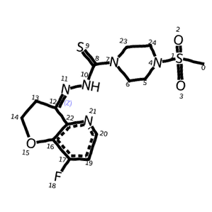 CS(=O)(=O)N1CCN(C(=S)N/N=C2/CCOc3c(F)ccnc32)CC1